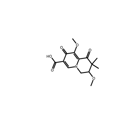 COc1c2n(cc(C(=O)O)c1=O)CC(OC)C(C)(C)C2=O